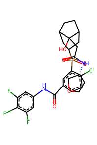 O=C(CC1(O)C2CCC1CC(S(=O)(=O)c1cc(C(=O)Nc3cc(F)c(F)c(F)c3)ccc1Cl)C2)N[C@@H]1CCOC1